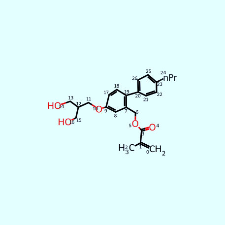 C=C(C)C(=O)OCc1cc(OCC(CO)CO)ccc1-c1ccc(CCC)cc1